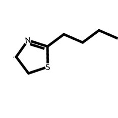 CCCCC1=N[CH]CS1